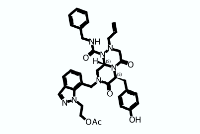 C=CCN1CC(=O)N2[C@@H](Cc3ccc(O)cc3)C(=O)N(Cc3cccc4cnn(CCOC(C)=O)c34)C[C@@H]2N1C(=O)NCc1ccccc1